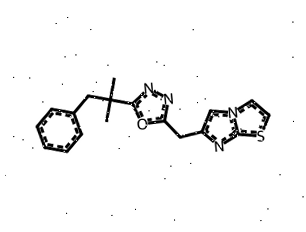 CC(C)(Cc1ccccc1)c1nnc(Cc2cn3ccsc3n2)o1